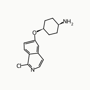 N[C@H]1CC[C@@H](Oc2ccc3c(Cl)nccc3c2)CC1